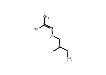 CC(C)=NOCC(F)CN